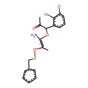 CC(=O)C(O/C(N)=C(\C)OSCc1ccccc1)c1cccc(Cl)c1Cl